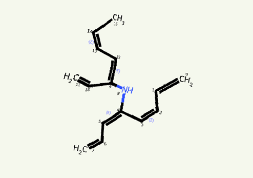 C=C/C=C\C(=C/C=C)N/C(C=C)=C/C=C\C